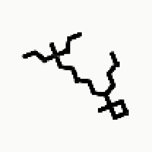 CCO[Si](C)(CCOCCC(CCOC)C1(C)COC1)OCC